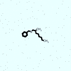 CCCCCCC(C)C[N]Cc1ccccc1